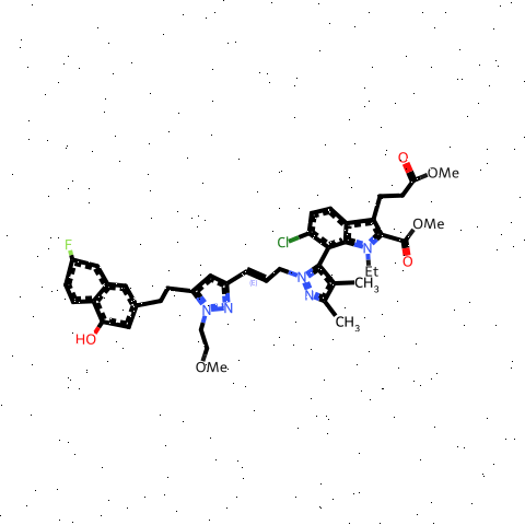 CCn1c(C(=O)OC)c(CCC(=O)OC)c2ccc(Cl)c(-c3c(C)c(C)nn3C/C=C/c3cc(CCc4cc(O)c5ccc(F)cc5c4)n(CCOC)n3)c21